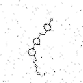 O=C(O)CO/N=C/c1cccc(-c2ccc(OCc3ccc(Cl)cc3)cc2)c1